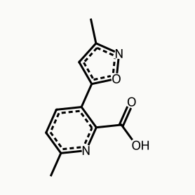 Cc1cc(-c2ccc(C)nc2C(=O)O)on1